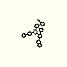 N#Cc1ccccc1-c1cccc(-c2nc(-c3ccc(-c4ccccc4)cc3)nc(-c3cc(-c4ccc5ccccc5c4)ccc3-c3ccccc3)n2)c1